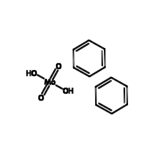 [O]=[Mo](=[O])([OH])[OH].c1ccccc1.c1ccccc1